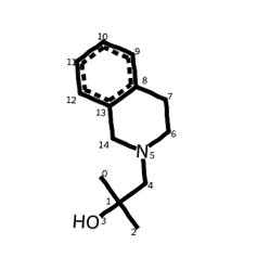 CC(C)(O)CN1CCc2ccccc2C1